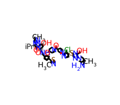 Cc1cn([C@H](C(=O)N2C[C@H](O)C[C@H]2C(=O)NCc2ccc(-c3scnc3C)cc2OC2CCN(C(=O)C3CCN(c4nccc(Sc5cnc(N6CCC(C)(CN)CC6)c(CO)n5)c4Cl)CC3)CC2)C(C)C)nn1